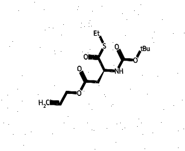 C=CCOC(=O)C[C@H](NC(=O)OC(C)(C)C)C(=O)SCC